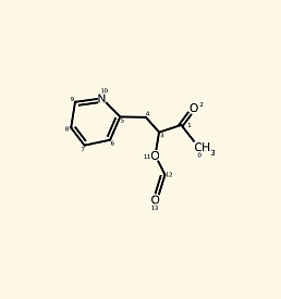 CC(=O)C(Cc1ccccn1)OC=O